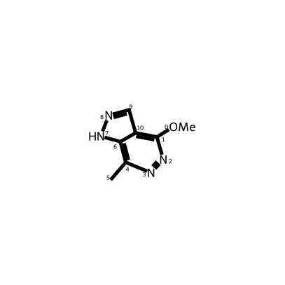 COc1nnc(C)c2[nH]ncc12